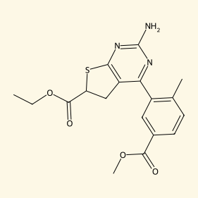 CCOC(=O)C1Cc2c(nc(N)nc2-c2cc(C(=O)OC)ccc2C)S1